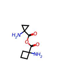 NC1(C(=O)OC(=O)C2(N)CC2)CCC1